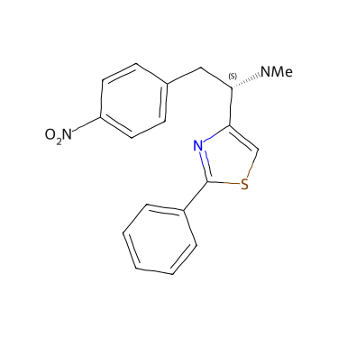 CN[C@@H](Cc1ccc([N+](=O)[O-])cc1)c1csc(-c2ccccc2)n1